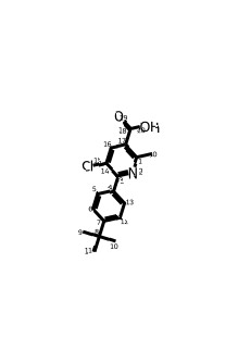 Cc1nc(-c2ccc(C(C)(C)C)cc2)c(Cl)cc1C(=O)O